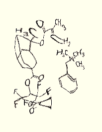 C=C(C)C(=O)OC1(C)C2CC3CC1CC(C(=O)OC(C(F)(F)F)C(F)(F)S(=O)(=O)[O-])(C3)C2.C[N+](C)(C)Cc1ccccc1